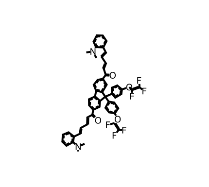 CN(C)c1ccccc1C=CC=CC(=O)c1ccc2c(c1)C(c1ccc(OC(F)=C(F)F)cc1)(c1ccc(OC(F)=C(F)F)cc1)c1cc(C(=O)C=CC=Cc3ccccc3N(C)C)ccc1-2